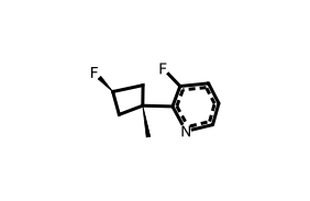 C[C@]1(c2ncccc2F)C[C@H](F)C1